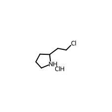 Cl.ClCCC1CCCN1